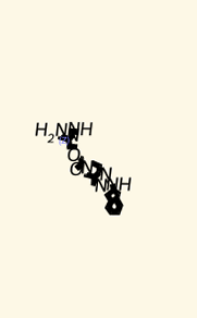 N=N/C(=C\N)CCOCC(=O)N1CCc2nc(NC3Cc4ccccc4C3)ncc2C1